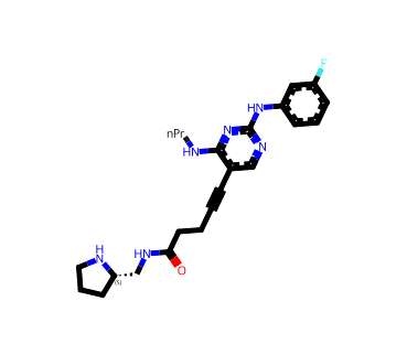 CCCNc1nc(Nc2cccc(F)c2)ncc1C#CCCC(=O)NC[C@@H]1CCCN1